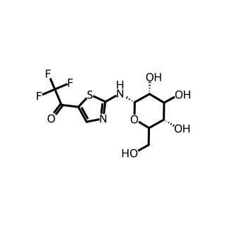 O=C(c1cnc(N[C@H]2OC(CO)[C@@H](O)C(O)[C@H]2O)s1)C(F)(F)F